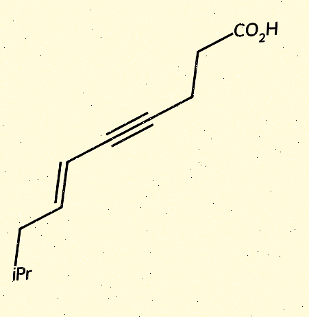 CC(C)CC=CC#CCCC(=O)O